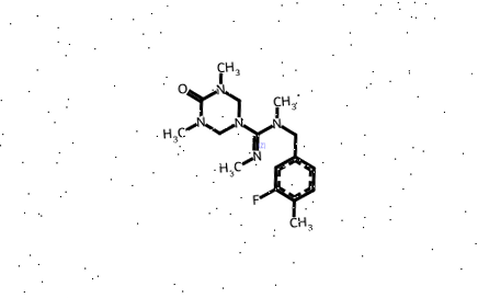 C/N=C(/N(C)Cc1ccc(C)c(F)c1)N1CN(C)C(=O)N(C)C1